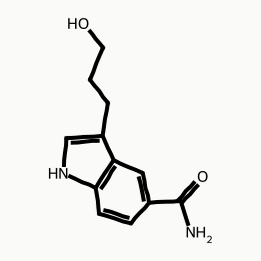 NC(=O)c1ccc2[nH]cc(CCCO)c2c1